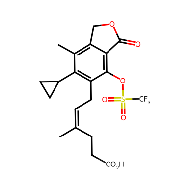 CC(=CCc1c(OS(=O)(=O)C(F)(F)F)c2c(c(C)c1C1CC1)COC2=O)CCC(=O)O